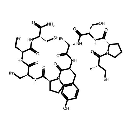 CC[C@H](C)[C@H](NC(=O)[C@H](CO)NC(=O)[C@@H]1CCCN1C(=O)[C@@H](C)CS)C(=O)N[C@@H](Cc1ccc(O)cc1)C(=O)N1CCC[C@H]1C(=O)N[C@@H](CC(C)C)C(=O)N[C@@H](CC(C)C)C(=O)N[C@@H](CS)C(N)=O